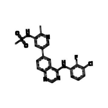 Cc1ncc(-c2ccc3ncnc(Nc4cccc(Cl)c4F)c3c2)cc1NS(C)(=O)=O